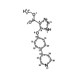 COC(=O)c1nn[nH]c1Oc1ccc(-c2ccncc2)cc1